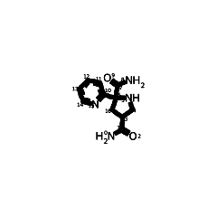 NC(=O)C1CNC(C(N)=O)(c2ccccn2)C1